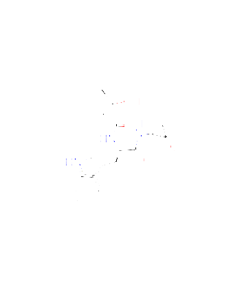 C[C@@H](O)CC(=O)N[C@H](Cc1c[nH]c2ccccc12)C(=O)NC1CC1=O